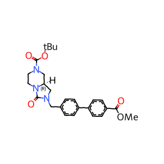 COC(=O)c1ccc(-c2ccc(CN3C[C@@H]4CN(C(=O)OC(C)(C)C)CCN4C3=O)cc2)cc1